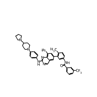 Cc1ccc(NC(=O)c2cccc(C(F)(F)F)c2)cc1-c1cc(C(C)C)c2nc(Nc3ccc(N4CCC(N5CCCC5)CC4)cc3)ncc2c1